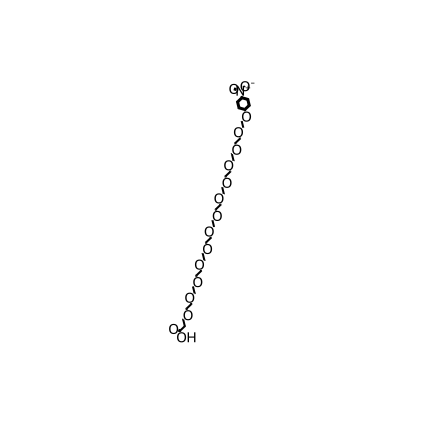 O=C(O)CCOCCOCCOCCOCCOCCOCCOCCOCCOCCOCCOCCOCCOc1ccc([N+](=O)[O-])cc1